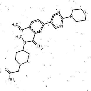 C=Nc1ccc(-c2cnc(N3CCOCC3)nc2)nc1C(=C)N(C)C1CCN(CC(N)=O)CC1